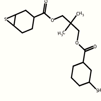 CC(C)(COC(=O)C1CCCC(S)C1)COC(=O)C1CCC2SC2C1